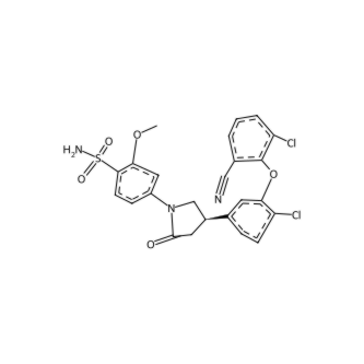 COc1cc(N2C[C@@H](c3ccc(Cl)c(Oc4c(Cl)cccc4C#N)c3)CC2=O)ccc1S(N)(=O)=O